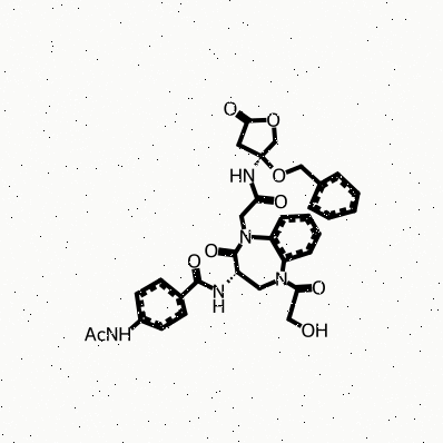 CC(=O)Nc1ccc(C(=O)N[C@H]2CN(C(=O)CO)c3ccccc3N(CC(=O)N[C@@]3(OCc4ccccc4)COC(=O)C3)C2=O)cc1